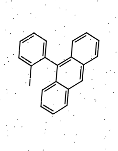 Ic1ccccc1-c1c2ccccc2cc2ccccc12